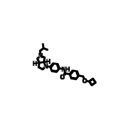 CC(C)CN1C[C@H]2CCN(c3ccc(NC(=O)c4ccc(COC5CCC5)cc4)cc3)[C@H]2C1